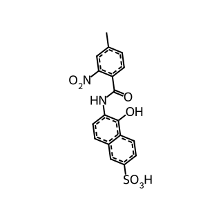 Cc1ccc(C(=O)Nc2ccc3cc(S(=O)(=O)O)ccc3c2O)c([N+](=O)[O-])c1